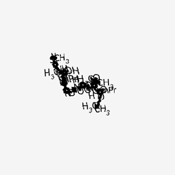 CCCOc1cc(OCCCCN(C)C)cc(Oc2cc3c(cc2NS(=O)(=O)c2cccc(C(=O)N[C@H]4C[C@H](Oc5cc(-c6cnn([C@H](C(=O)N7C[C@H](O)C[C@H]7C(=O)N[C@@H](C)c7ccc(-c8scnc8C)cc7)C(C)C)c6)ccn5)C4)c2)n(C)c(=O)n3C)c1